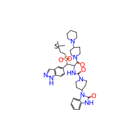 C[Si](C)(C)CCS(=O)(=O)C(c1ccc2[nH]ncc2c1)C(NC(=O)N1CCC(n2c(=O)[nH]c3ccccc32)CC1)C(=O)N1CCC(N2CCCCC2)CC1